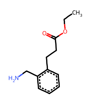 CCOC(=O)CCc1ccccc1CN